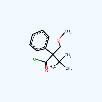 COCC(C(=O)Cl)(c1ccccc1)C(C)(C)C